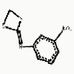 O=[N+]([O-])c1cccc(N=C2SCS2)c1